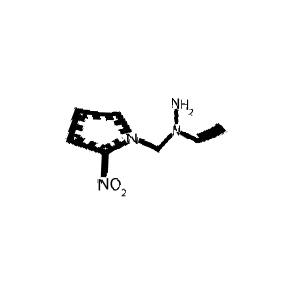 C=CN(N)Cn1cccc1[N+](=O)[O-]